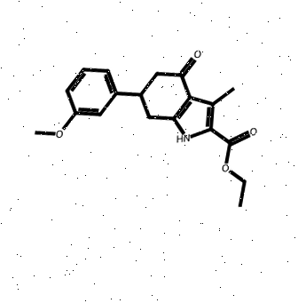 CCOC(=O)c1[nH]c2c(c1C)C(=O)CC(c1cccc(OC)c1)C2